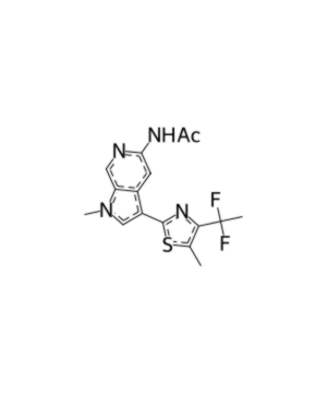 CC(=O)Nc1cc2c(-c3nc(C(C)(F)F)c(C)s3)cn(C)c2cn1